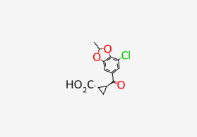 CC1Oc2cc(C(=O)[C@H]3C[C@@H]3C(=O)O)cc(Cl)c2O1